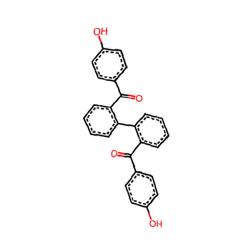 O=C(c1ccc(O)cc1)c1ccccc1-c1ccccc1C(=O)c1ccc(O)cc1